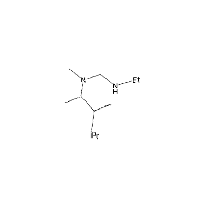 CCNCN(C)C(C)C(C)C(C)C